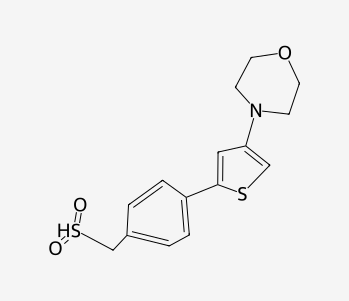 O=[SH](=O)Cc1ccc(-c2cc(N3CCOCC3)cs2)cc1